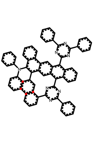 c1ccc(-c2nc(-c3ccccc3)nc(-c3c4ccccc4c(-c4nc(-c5ccccc5)nc(-c5ccccc5)n4)c4cc5c(cc34)c(-c3ccccc3)c(N(c3ccccc3)c3ccccc3)c3ccccc35)n2)cc1